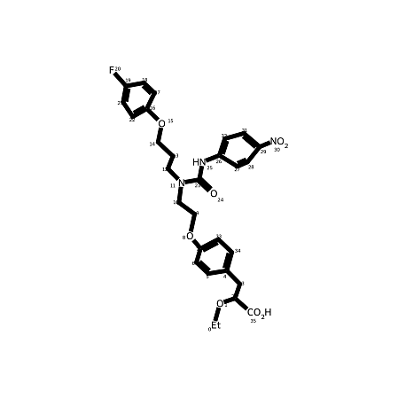 CCOC(Cc1ccc(OCCN(CCCOc2ccc(F)cc2)C(=O)Nc2ccc([N+](=O)[O-])cc2)cc1)C(=O)O